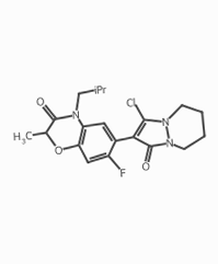 CC(C)CN1C(=O)C(C)Oc2cc(F)c(-c3c(Cl)n4n(c3=O)CCCC4)cc21